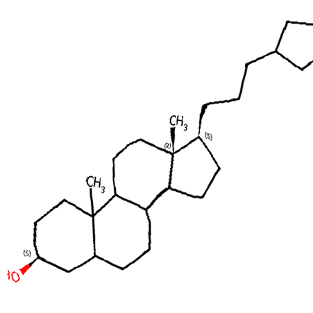 CC12CC[C@H](O)CC1CCC1C2CC[C@@]2(C)C1CC[C@@H]2CCCC1CCCC1